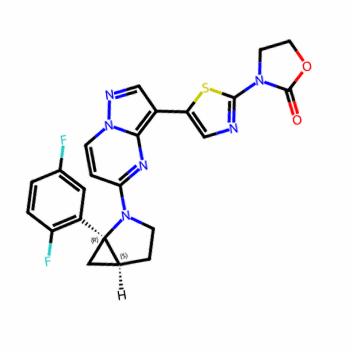 O=C1OCCN1c1ncc(-c2cnn3ccc(N4CC[C@H]5C[C@]54c4cc(F)ccc4F)nc23)s1